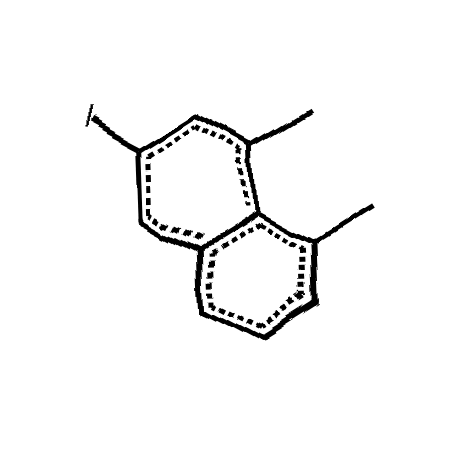 Cc1cccc2cc(I)cc(C)c12